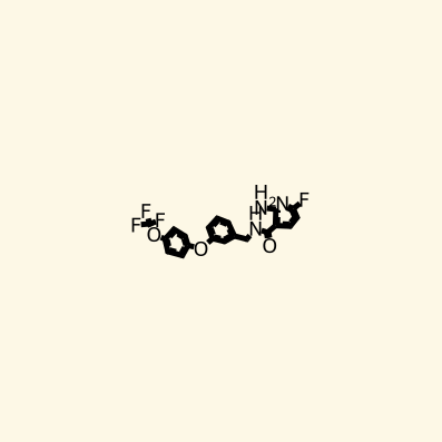 Nc1nc(F)ccc1C(=O)NCc1cccc(Oc2ccc(OC(F)(F)F)cc2)c1